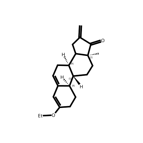 C=C1CC2[C@@H]3CC=C4C=C(OCC)CC[C@@H]4[C@H]3CC[C@]2(C)C1=O